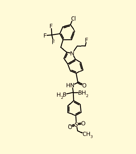 BC(B)(NC(=O)c1ccc2c(c1)cc(Cc1ccc(Cl)cc1C(F)(F)F)n2CCF)c1ccc(S(=O)(=O)CC)cc1